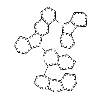 c1cc(-n2c3ccccc3c3ccccc32)c2cc3c(cc2c1)c1ccccc1n3-c1nc(-c2cccc3oc4ccccc4c23)c2ccccc2n1